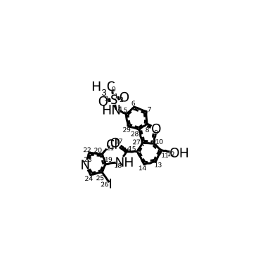 CS(=O)(=O)Nc1ccc2oc3c(O)ccc(C(=O)Nc4c(Cl)cncc4I)c3c2c1